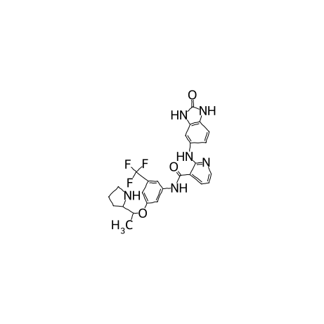 CC(Oc1cc(NC(=O)c2cccnc2Nc2ccc3[nH]c(=O)[nH]c3c2)cc(C(F)(F)F)c1)C1CCCN1